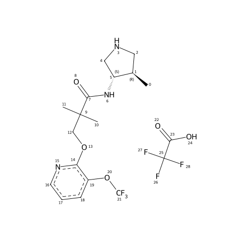 C[C@@H]1CNC[C@H]1NC(=O)C(C)(C)COc1ncccc1OC(F)(F)F.O=C(O)C(F)(F)F